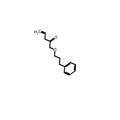 C=CCC(=O)COCCCc1ccccc1